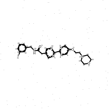 O=C(Cc1cnc(-c2ncc(OCCN3CCOCC3)cn2)nc1)NCc1cccc(F)c1